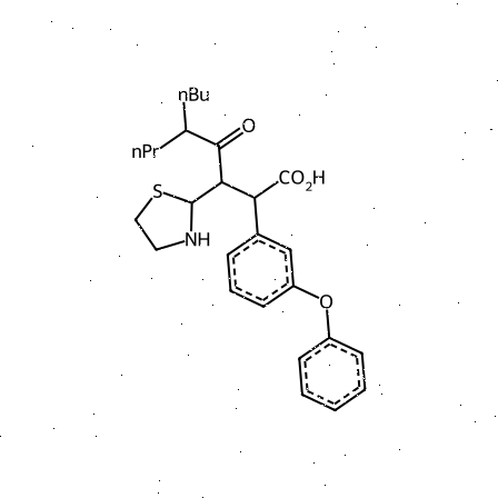 CCCCC(CCC)C(=O)C(C1NCCS1)C(C(=O)O)c1cccc(Oc2ccccc2)c1